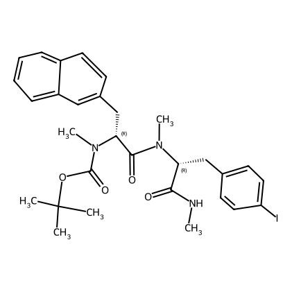 CNC(=O)[C@@H](Cc1ccc(I)cc1)N(C)C(=O)[C@@H](Cc1ccc2ccccc2c1)N(C)C(=O)OC(C)(C)C